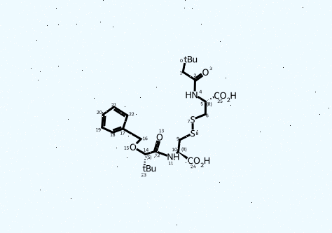 CC(C)(C)CC(=O)N[C@@H](CSSC[C@H](NC(=O)[C@@H](OCc1ccccc1)C(C)(C)C)C(=O)O)C(=O)O